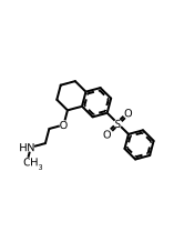 CNCCOC1CCCc2ccc(S(=O)(=O)c3ccccc3)cc21